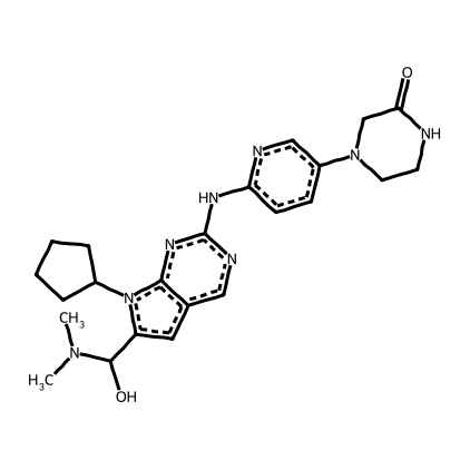 CN(C)C(O)c1cc2cnc(Nc3ccc(N4CCNC(=O)C4)cn3)nc2n1C1CCCC1